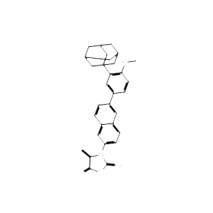 C=C1C(=O)SC(=O)N1c1ccc2cc(-c3ccc(OC)c(C45CC6CC(CC(C6)C4)C5)c3)ccc2c1